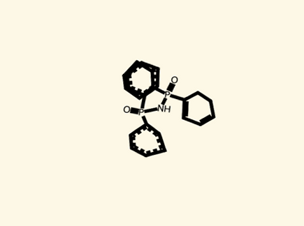 O=P(NP(=O)(C1=CC=CCC1)C1C=CC=CC1)(c1ccccc1)c1ccccc1